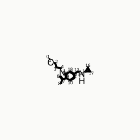 COCCCn1cc(C)c2ccc(CNC3CC3)cc21